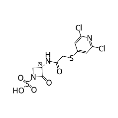 O=C(CSc1cc(Cl)nc(Cl)c1)N[C@H]1CN(S(=O)(=O)O)C1=O